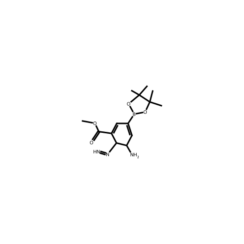 COC(=O)C1=CC(B2OC(C)(C)C(C)(C)O2)=CC(N)C1N=N